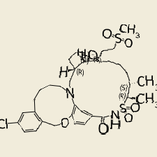 C[C@@H]1[C@@H](C)CCC[C@](O)(CCS(C)(=O)=O)[C@@H]2CC[C@H]2CN2CCCCc3cc(Cl)ccc3COc3ccc(cc32)C(=O)NS1(=O)=O